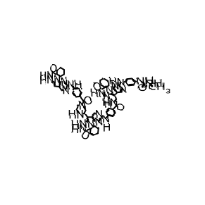 CNC(=O)Nc1ccc(Nc2ncc3c(CNC(=O)c4ccc(Nc5ncc6c(C7CN(C(=O)c8ccc(Nc9ncc%10cc%11n(c%10n9)C9(CCCCC9)C(=O)NN%11)cc8)CCN7)c7n(c6n5)C5(CCCCC5)C(=O)NN7)cc4)c4n(c3n2)C2(CCCCC2)C(=O)NN4)cc1